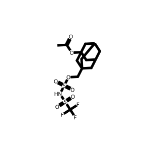 CC(=O)OC12CC3CC(CC(COS(=O)(=O)NS(=O)(=O)C(F)(F)F)(C3)C1)C2